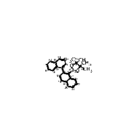 CC1(C)OB(c2c(-c3cccc4ccccc34)ccc3ccccc23)OC1(C)C